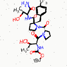 C[C@@H](O)[C@H](NC(=O)[C@@]1(Cc2ccc(C(F)(F)F)cc2)CCCN1C(=O)[C@@H]1CCCN1C(=O)[C@@H](NC(=O)OC(C)(C)C)[C@@H](C)O)C(N)=O